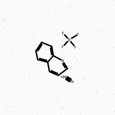 F[B-](F)(F)F.N#[NH+].c1ccc2ncccc2c1